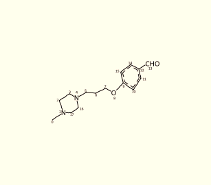 CN1CCN(CCCOc2ccc(C=O)cc2)CC1